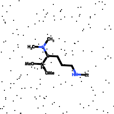 CCNCCC[Si](N(C)C)[SiH](OC)OC